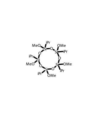 CO[Si]1(C(C)C)O[Si](OC)(C(C)C)O[Si](OC)(C(C)C)O[Si](OC)(C(C)C)O[Si](OC)(C(C)C)O1